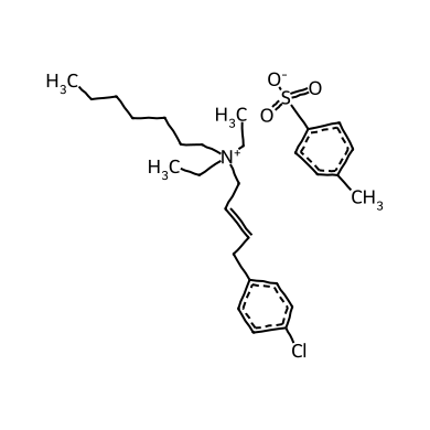 CCCCCCC[N+](CC)(CC)CC=CCc1ccc(Cl)cc1.Cc1ccc(S(=O)(=O)[O-])cc1